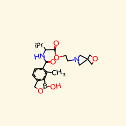 Cc1c(C(=O)NC(C(=O)OCCN2CC3(COC3)C2)C(C)C)ccc2c1B(O)OC2